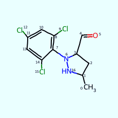 CC1CC(C=O)N(c2c(Cl)cc(Cl)cc2Cl)N1